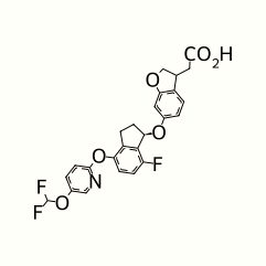 O=C(O)CC1COc2cc(O[C@@H]3CCc4c(Oc5ccc(OC(F)F)cn5)ccc(F)c43)ccc21